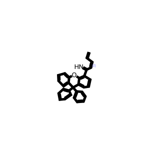 C=C/C=C\C(=N)c1cccc2c1Oc1ccccc1C2(c1ccccc1)c1ccccc1